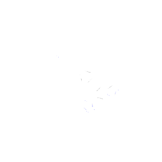 CCn1cnnc1-c1cc(Oc2ccc(OCCCN3CCOCC3)cc2)c2cncn2c1